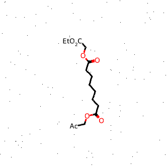 CCOC(=O)COC(=O)CCCCCCC(=O)OCC(C)=O